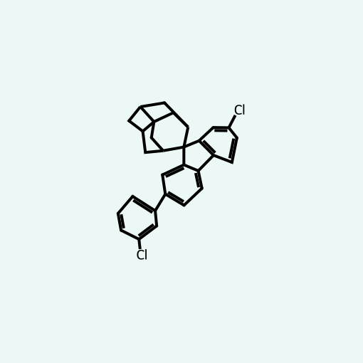 Clc1cccc(-c2ccc3c(c2)C2(c4cc(Cl)ccc4-3)C3CC4CC5CC2CC45C3)c1